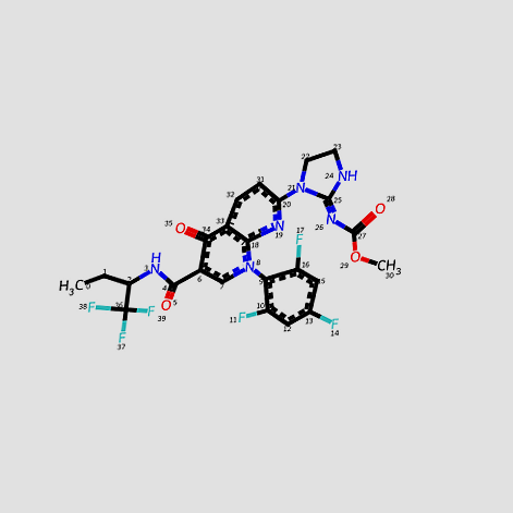 CCC(NC(=O)c1cn(-c2c(F)cc(F)cc2F)c2nc(N3CCN/C3=N\C(=O)OC)ccc2c1=O)C(F)(F)F